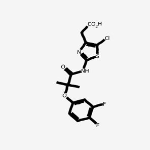 CC(C)(Oc1ccc(F)c(F)c1)C(=O)Nc1nc(CC(=O)O)c(Cl)s1